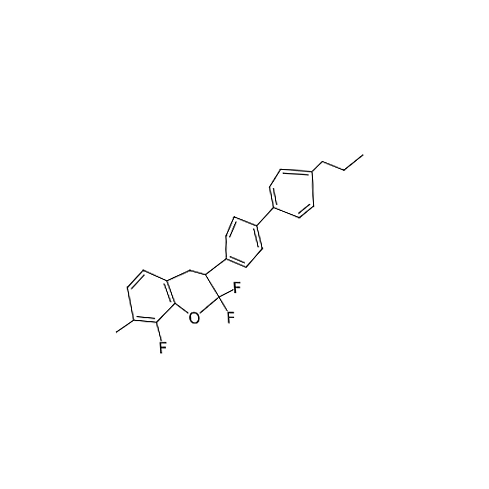 CCCc1ccc(-c2ccc(C3Cc4ccc(C)c(F)c4OC3(F)F)cc2)cc1